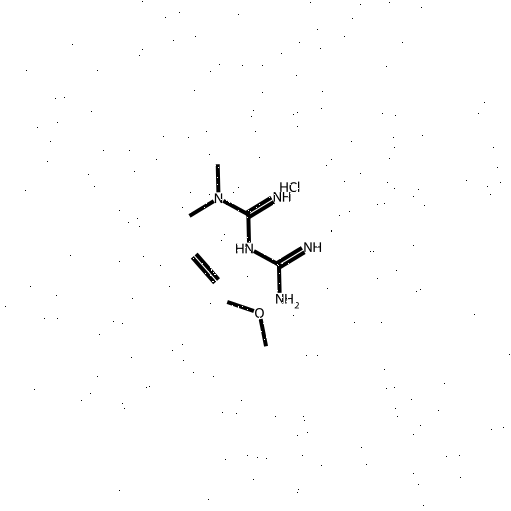 C=C.CN(C)C(=N)NC(=N)N.COC.Cl